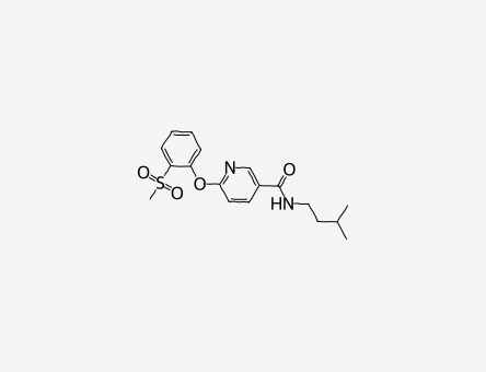 CC(C)CCNC(=O)c1ccc(Oc2ccccc2S(C)(=O)=O)nc1